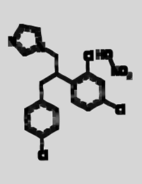 Clc1ccc(CC(Cn2ccnc2)c2ccc(Cl)cc2Cl)cc1.O=[N+]([O-])O